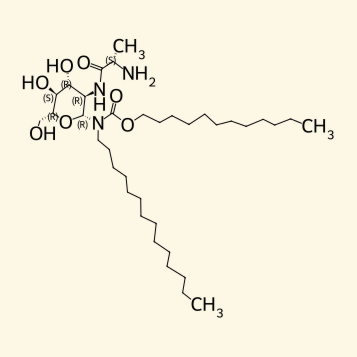 CCCCCCCCCCCCCCN(C(=O)OCCCCCCCCCCCC)[C@@H]1O[C@H](CO)[C@@H](O)[C@H](O)[C@H]1NC(=O)[C@H](C)N